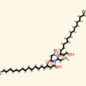 CCCCCCCCCCCCCCCC(CCO)OC(CC)NC(CC)OC(CCO)CCCCCCCCCCCCCCC